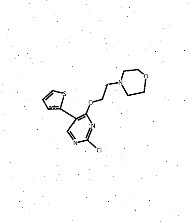 Clc1ncc(-c2cccs2)c(OCCN2CCOCC2)n1